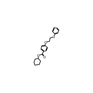 O=C(OC1CCCCC1)c1ccc(OCCOc2ccccc2)cc1